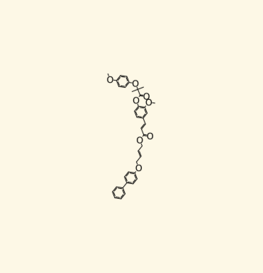 COc1ccc(OC(C)(C)C(=O)Oc2ccc(C=CC(=O)OCC=CCOc3ccc(-c4ccccc4)cc3)cc2OC)cc1